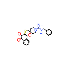 N=C(NCc1ccccc1)N1CCC2(CC1)CSC1=C(O2)c2ccccc2C(=O)C1=O